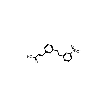 O=C(O)/C=C/c1cccc(CCc2cccc([N+](=O)[O-])c2)c1